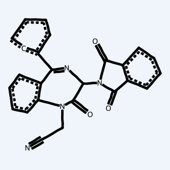 N#CCN1C(=O)C(N2C(=O)c3ccccc3C2=O)N=C(c2ccccc2)c2ccccc21